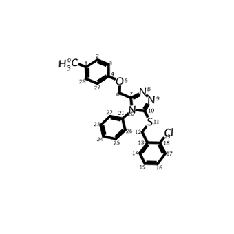 Cc1ccc(OCc2nnc(SCc3ccccc3Cl)n2-c2ccccc2)cc1